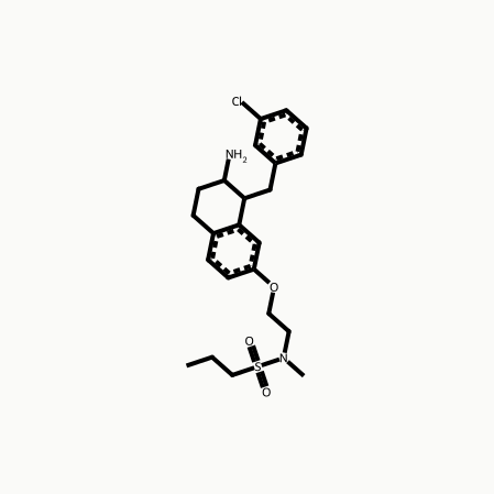 CCCS(=O)(=O)N(C)CCOc1ccc2c(c1)C(Cc1cccc(Cl)c1)C(N)CC2